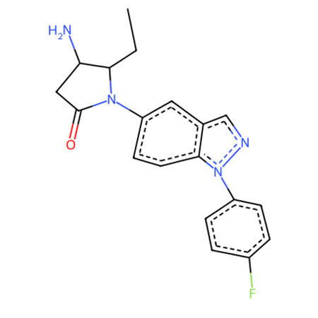 CCC1C(N)CC(=O)N1c1ccc2c(cnn2-c2ccc(F)cc2)c1